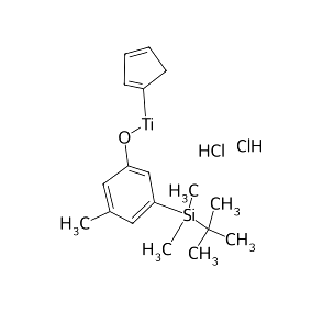 Cc1cc([O][Ti][C]2=CC=CC2)cc([Si](C)(C)C(C)(C)C)c1.Cl.Cl